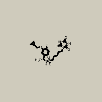 C[C@@H](NS(=O)(=O)CCCCCn1c(=O)[nH]c(=O)[nH]c1=O)c1ccc(F)c(OCC2CC2)c1